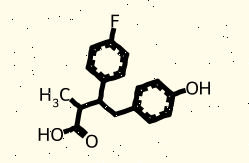 CC(C(=O)O)C(Cc1ccc(O)cc1)c1ccc(F)cc1